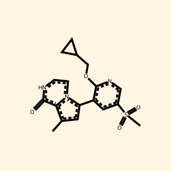 Cc1cc(-c2cc(S(C)(=O)=O)cnc2OCC2CC2)n2cc[nH]c(=O)c12